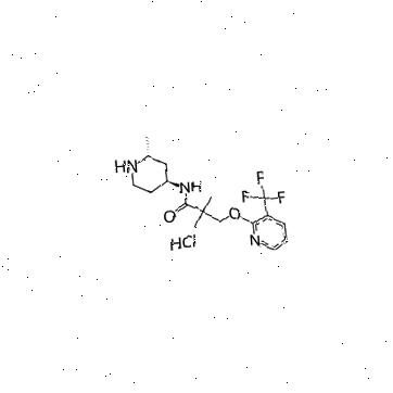 C[C@@H]1C[C@@H](NC(=O)C(C)(C)COc2ncccc2C(F)(F)F)CCN1.Cl